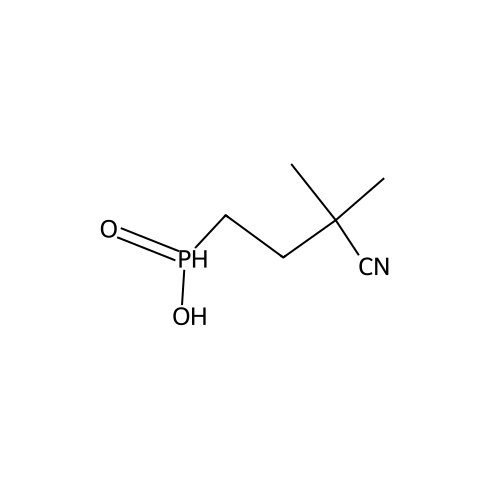 CC(C)(C#N)CC[PH](=O)O